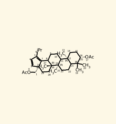 CC(=O)OC[C@]12C=CC(C(C)C)=C1C1CCC3[C@@]4(C)CC[C@H](OC(C)=O)C(C)(C)C4CC[C@@]3(C)[C@]1(C)CC2